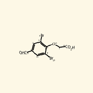 O=Cc1cc(Br)c(OCC(=O)O)c(Br)c1